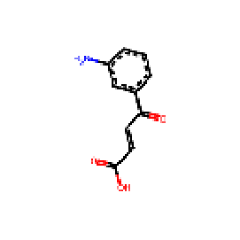 Nc1cccc(C(=O)C=CC(=O)O)c1